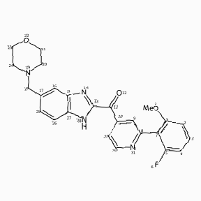 COc1cccc(F)c1-c1cc(C(=O)c2nc3cc(CN4CCOCC4)ccc3[nH]2)ccn1